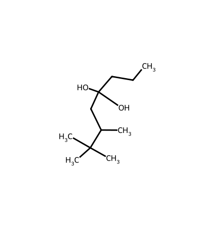 CCCC(O)(O)CC(C)C(C)(C)C